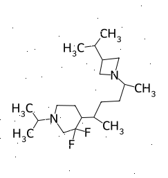 CC(C)C1CN(C(C)CCC(C)C2CCN(C(C)C)CC2(F)F)C1